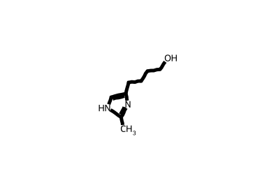 Cc1nc(CCCCO)c[nH]1